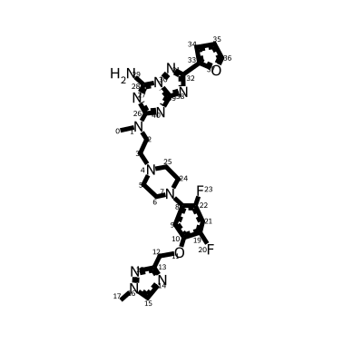 CN(CCN1CCN(c2cc(OCc3ncn(C)n3)c(F)cc2F)CC1)c1nc(N)n2nc(-c3ccco3)nc2n1